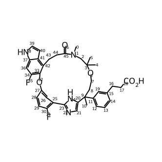 CN1CC(C)(C)OCCC(C)(c2cccc(CCC(=O)O)c2)c2cnc([nH]2)-c2cc(ccc2F)Oc2c(F)cc3[nH]ccc3c2CCC1=O